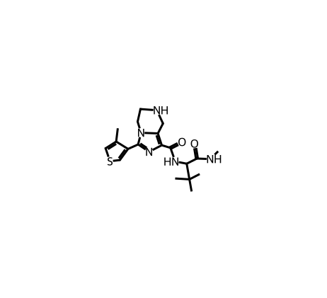 CNC(=O)C(NC(=O)c1nc(-c2cscc2C)n2c1CNCC2)C(C)(C)C